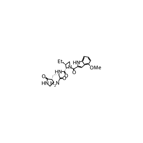 CC[C@H]1CN(C(=O)c2cc3c(OC)cccc3[nH]2)[C@@H]1C(=O)N[C@@H](C[C@@H]1CCNC1=O)C(N)=O